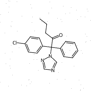 CCCC(=O)C(c1ccccc1)(c1ccc(Cl)cc1)n1cncn1